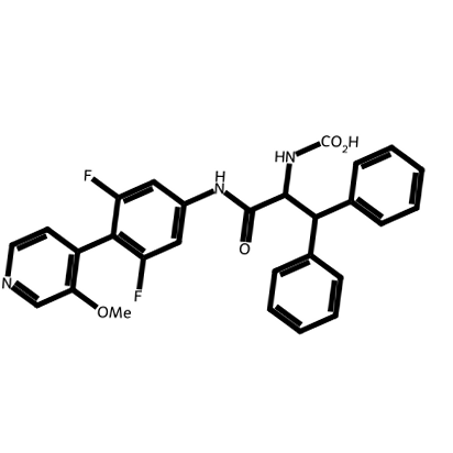 COc1cnccc1-c1c(F)cc(NC(=O)C(NC(=O)O)C(c2ccccc2)c2ccccc2)cc1F